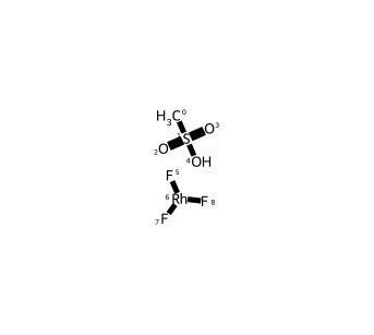 CS(=O)(=O)O.[F][Rh]([F])[F]